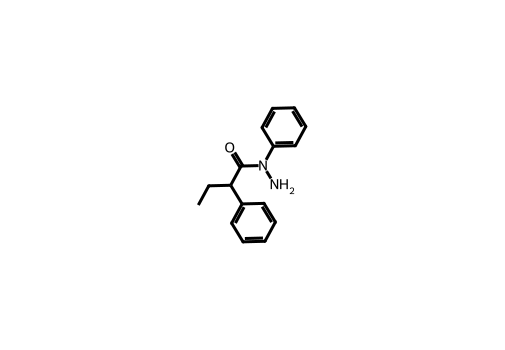 CCC(C(=O)N(N)c1ccccc1)c1ccccc1